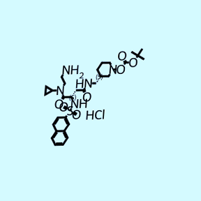 CC(C)(C)OC(=O)ON1CCC[C@@H](CNC(=O)C[C@H](NS(=O)(=O)c2ccc3ccccc3c2)C(=O)N(CCN)C2CC2)C1.Cl